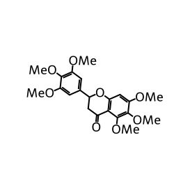 COc1cc(C2CC(=O)c3c(cc(OC)c(OC)c3OC)O2)cc(OC)c1OC